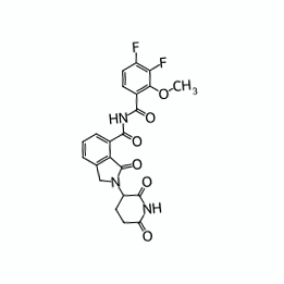 COc1c(C(=O)NC(=O)c2cccc3c2C(=O)N(C2CCC(=O)NC2=O)C3)ccc(F)c1F